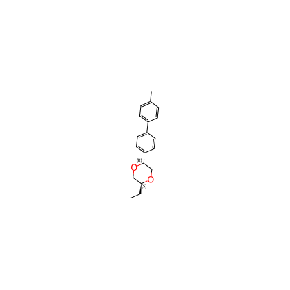 CC[C@H]1CO[C@H](c2ccc(-c3ccc(C)cc3)cc2)CO1